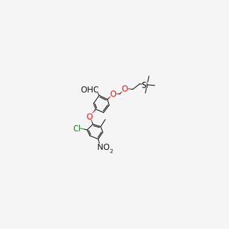 Cc1cc([N+](=O)[O-])cc(Cl)c1Oc1ccc(OCOCC[Si](C)(C)C)c(C=O)c1